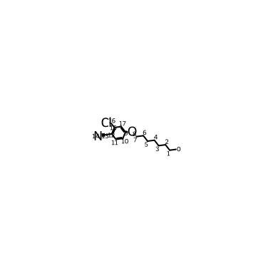 CCCCCCCCOc1ccc(C#N)c(Cl)c1